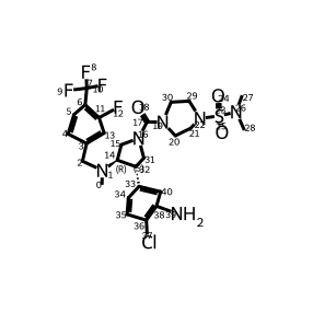 CN(Cc1ccc(C(F)(F)F)c(F)c1)[C@H]1CN(C(=O)N2CCN(S(=O)(=O)N(C)C)CC2)C[C@@H]1c1ccc(Cl)c(N)c1